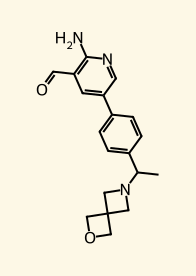 CC(c1ccc(-c2cnc(N)c(C=O)c2)cc1)N1CC2(COC2)C1